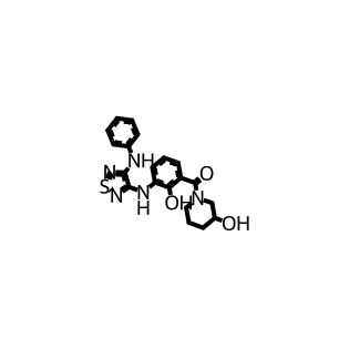 O=C(c1cccc(Nc2nsnc2Nc2ccccc2)c1O)N1CCCC(O)C1